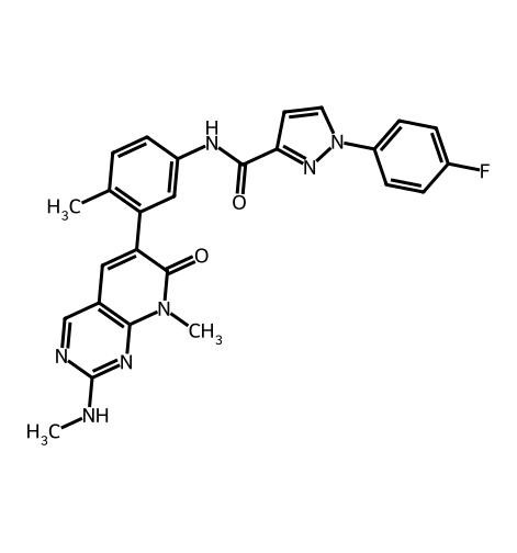 CNc1ncc2cc(-c3cc(NC(=O)c4ccn(-c5ccc(F)cc5)n4)ccc3C)c(=O)n(C)c2n1